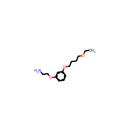 CCOCCCCOc1cccc(OCCN)c1